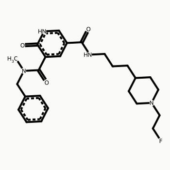 CN(Cc1ccccc1)C(=O)c1cc(C(=O)NCCCC2CCN(CCF)CC2)c[nH]c1=O